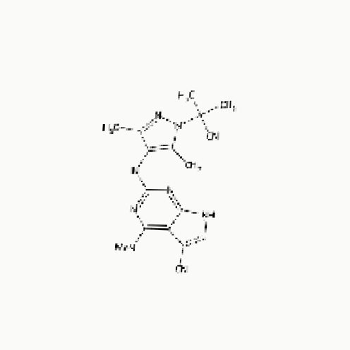 CNc1nc(Nc2c(C)nn(C(C)(C)C#N)c2C)nc2[nH]cc(C#N)c12